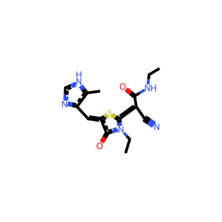 CCNC(=O)/C(C#N)=c1\s/c(=C\c2nc[nH]c2C)c(=O)n1CC